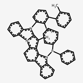 Cc1ccccc1-c1cccc(-n2c3ccccc3n3c4ccc5c6ccccc6n(P(c6ccccc6)c6ccccc6)c5c4c(C)c23)c1C